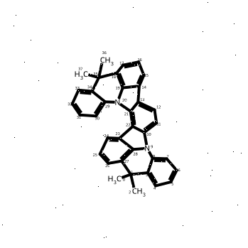 CC1(C)c2ccccc2-n2c3ccc4c5cccc6c5n(c4c3c3cccc1c32)-c1ccccc1C6(C)C